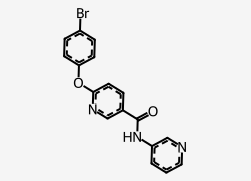 O=C(Nc1cccnc1)c1ccc(Oc2ccc(Br)cc2)nc1